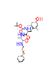 Cc1cc(O)cc(C)c1C[C@H](NC(=O)OC(C)(C)C)C(=O)N[C@H](C)C(=O)NCCSc1ccccc1